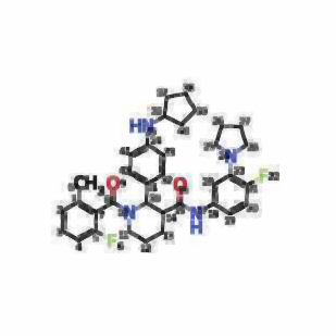 Cc1cccc(F)c1C(=O)N1CCCC(C(=O)Nc2ccc(F)c(N3CCCC3)c2)C1c1ccc(NC2CCCC2)cc1